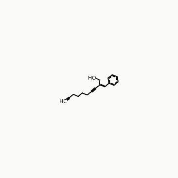 C#CCCCCC#CC(=Cc1ccccc1)CO